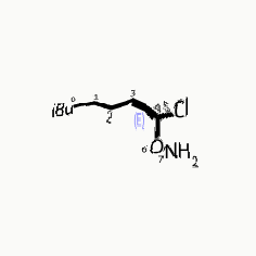 CCC(C)CC/C=C(/Cl)ON